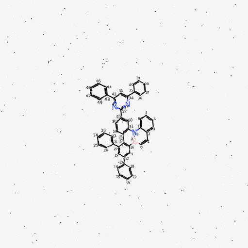 C1=Cc2ccccc2N2B1c1cc(-c3ccccc3)cc(-c3ccccc3)c1-c1ccc(-c3nc(-c4ccccc4)cc(-c4ccccc4)n3)cc12